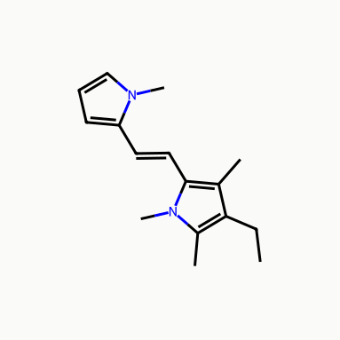 CCc1c(C)c(/C=C/c2cccn2C)n(C)c1C